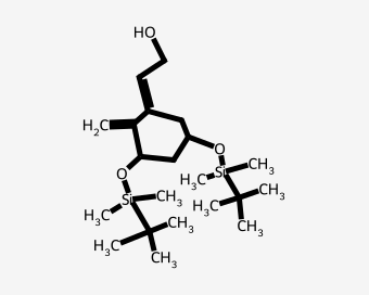 C=C1C(=CCO)CC(O[Si](C)(C)C(C)(C)C)CC1O[Si](C)(C)C(C)(C)C